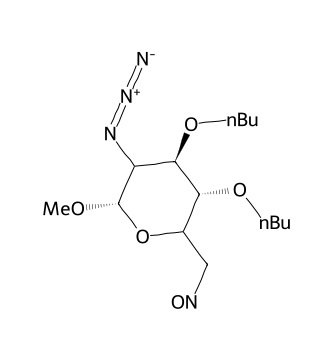 CCCCO[C@@H]1C(CN=O)O[C@H](OC)C(N=[N+]=[N-])[C@H]1OCCCC